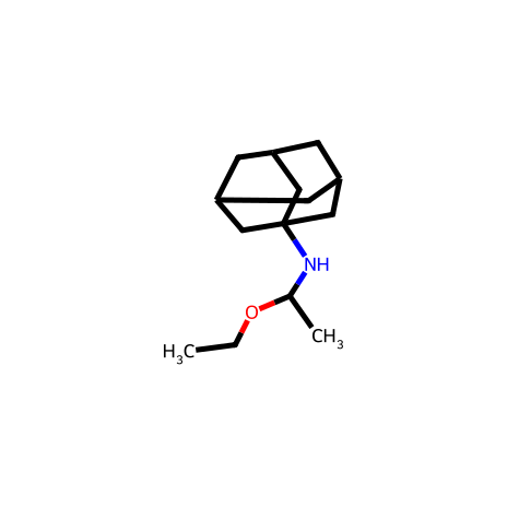 CCOC(C)NC12CC3CC(CC(C3)C1)C2